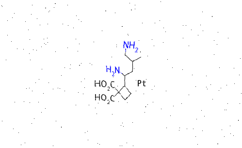 CC(CN)CC(N)C1CCC1(C(=O)O)C(=O)O.[Pt]